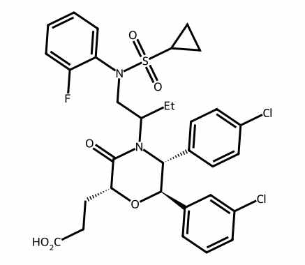 CCC(CN(c1ccccc1F)S(=O)(=O)C1CC1)N1C(=O)[C@@H](CCC(=O)O)O[C@H](c2cccc(Cl)c2)[C@H]1c1ccc(Cl)cc1